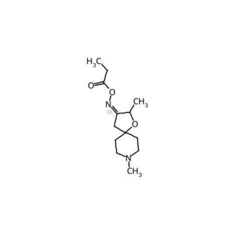 CCC(=O)O/N=C1/CC2(CCN(C)CC2)OC1C